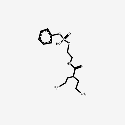 CCCC(CCC)C(=O)NCCOP(=O)(O)Oc1ccccc1